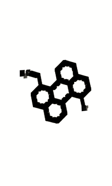 C=Cc1ccc2cccc3c4c(Br)ccc5cccc(c1c23)c54